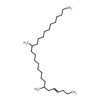 [CH2]CC/C=C/CC(C)CCCCCCCCC(C)CCCCCCCCCC[CH2]